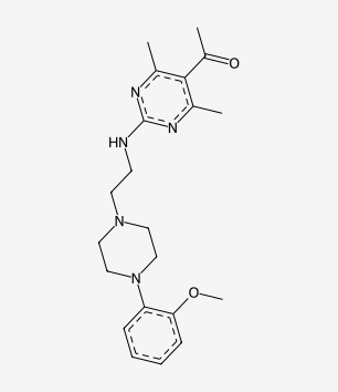 COc1ccccc1N1CCN(CCNc2nc(C)c(C(C)=O)c(C)n2)CC1